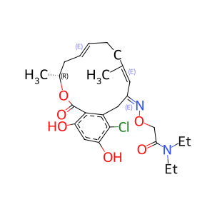 CCN(CC)C(=O)CO/N=C1/C=C(\C)CC/C=C/C[C@@H](C)OC(=O)c2c(O)cc(O)c(Cl)c2C1